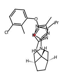 Cc1noc(N2C[C@H]3CC[C@@H](C2)[C@@H]3Nc2nc(Oc3cccc(Cl)c3C)n(C(C)C)n2)n1